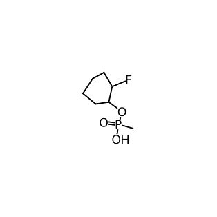 CP(=O)(O)OC1CCCCC1F